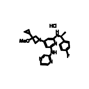 COC1(C2CC2)CN(c2cc(Nc3cnccn3)nc(N[C@@H](C)c3ccc(F)cc3)c2)C1.Cl